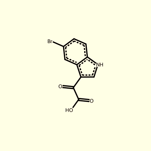 O=C(O)C(=O)c1c[nH]c2ccc(Br)cc12